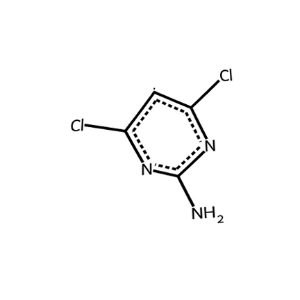 Nc1nc(Cl)[c]c(Cl)n1